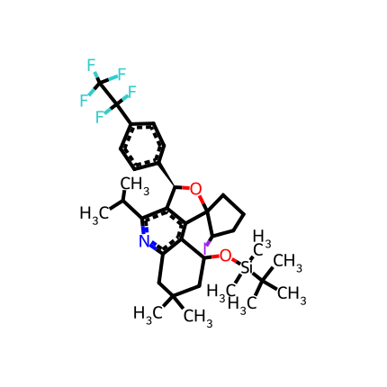 CC(C)c1nc2c(c3c1[C@@H](c1ccc(C(F)(F)C(F)(F)F)cc1)OC31CCCC1I)C(O[Si](C)(C)C(C)(C)C)CC(C)(C)C2